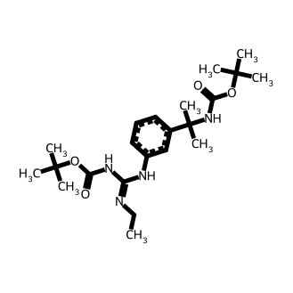 CC/N=C(/NC(=O)OC(C)(C)C)Nc1cccc(C(C)(C)NC(=O)OC(C)(C)C)c1